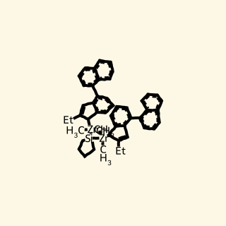 CCC1=Cc2c(-c3cccc4ccccc34)cccc2[CH]1[Zr]([CH3])([CH3])[Si]1([Zr]([CH3])([CH3])[CH]2C(CC)=Cc3c(-c4cccc5ccccc45)cccc32)CCCC1